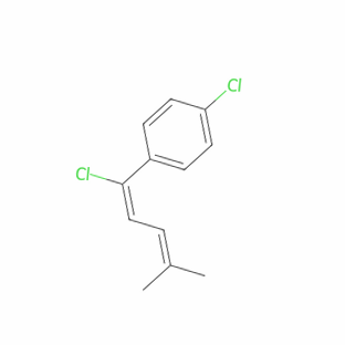 CC(C)=C/C=C(/Cl)c1ccc(Cl)cc1